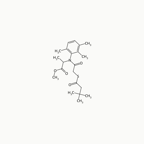 COC(=O)C(C)N(C(=O)CSC(=O)CC(C)(C)C)c1c(C)ccc(C)c1C